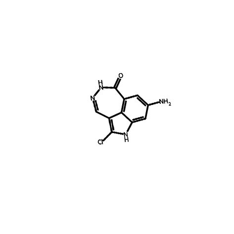 Nc1cc2c3c(c(Cl)[nH]c3c1)C=NNC2=O